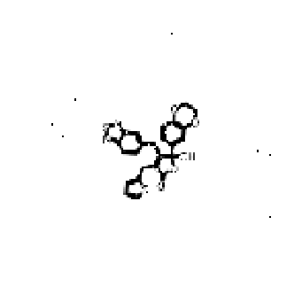 O=C1OC(O)(c2ccc3c(c2)OCCO3)C(Cc2ccc3nsnc3c2)=C1Cc1cccs1